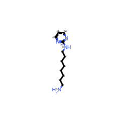 NCCCCCCCCNc1ncccn1